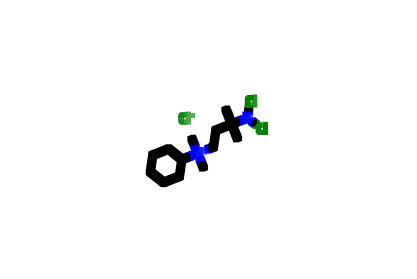 CC(C)(CC[N+](C)(C)C1CCCCC1)N(Cl)Cl.[Cl-]